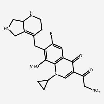 COc1c(CC2=C3CNCC3NCC2)c(F)cc2c(=O)c(C(=O)C[N+](=O)[O-])cn(C3CC3)c12